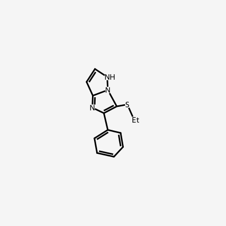 CCSc1c(-c2ccccc2)nc2cc[nH]n12